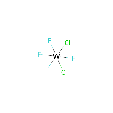 [F][W]([F])([F])([F])([Cl])[Cl]